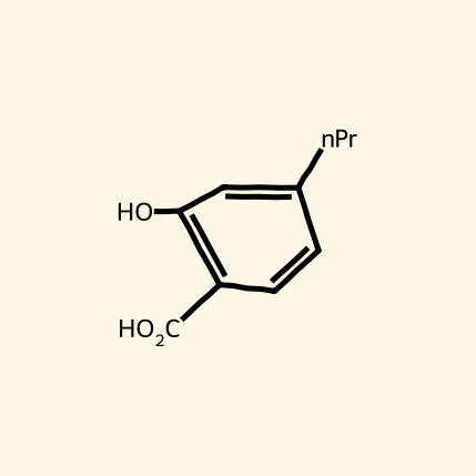 CCCc1ccc(C(=O)O)c(O)c1